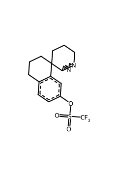 O=S(=O)(Oc1ccc2c(c1)C1(CCC2)CCCn2cncc21)C(F)(F)F